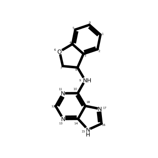 c1ccc2c(c1)OCC2Nc1ncnc2[nH]cnc12